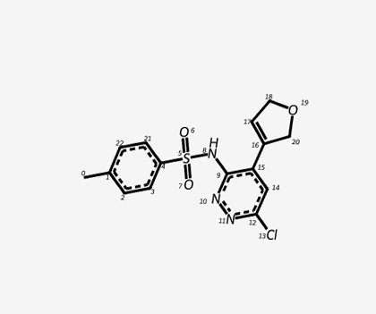 Cc1ccc(S(=O)(=O)Nc2nnc(Cl)cc2C2=CCOC2)cc1